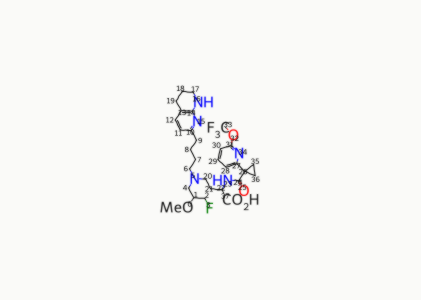 COC(CF)CN(CCCCc1ccc2c(n1)NCCC2)CCC(NC(=O)C1(c2cccc(OC(F)(F)F)n2)CC1)C(=O)O